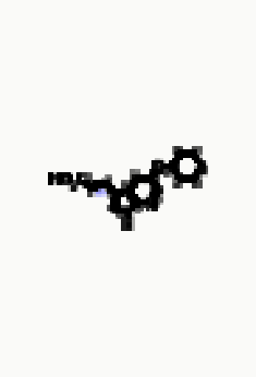 O=C(O)/C=C/c1c[nH]c2ncc(OC3CCSCC3)cc12